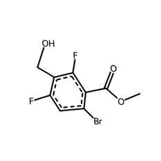 COC(=O)c1c(Br)cc(F)c(CO)c1F